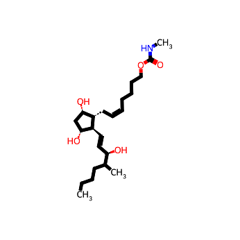 CCCCC(C)[C@H](O)/C=C/[C@@H]1[C@@H](C/C=C\CCCCOC(=O)NC)[C@@H](O)C[C@H]1O